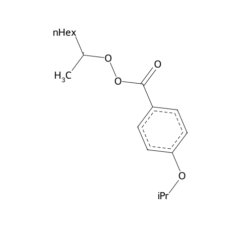 CCCCCC[C](C)OOC(=O)c1ccc(OC(C)C)cc1